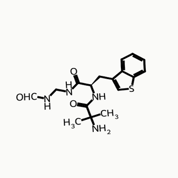 CC(C)(N)C(=O)N[C@H](Cc1csc2ccccc12)C(=O)NCNC=O